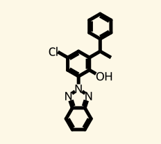 CC(c1ccccc1)c1cc(Cl)cc(-n2nc3ccccc3n2)c1O